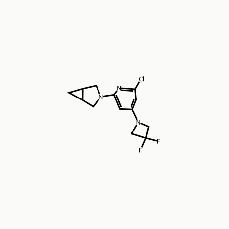 FC1(F)CN(c2cc(Cl)nc(N3CC4CC4C3)c2)C1